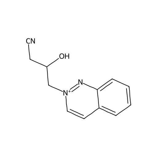 N#CCC(O)C[n+]1ccc2ccccc2n1